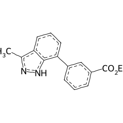 CCOC(=O)c1cccc(-c2cccc3c(C)n[nH]c23)c1